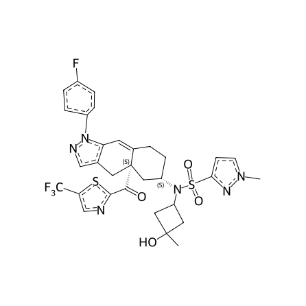 Cn1ccc(S(=O)(=O)N(C2CC(C)(O)C2)[C@H]2CCC3=Cc4c(cnn4-c4ccc(F)cc4)C[C@]3(C(=O)c3ncc(C(F)(F)F)s3)C2)n1